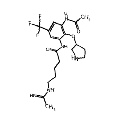 CC(=N)NCCCCC(=O)Nc1cc(C(F)(F)F)cc(NC(C)=O)c1OC1CCNC1